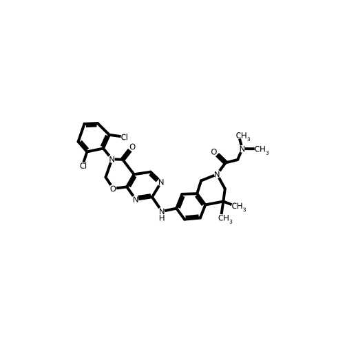 CN(C)CC(=O)N1Cc2cc(Nc3ncc4c(n3)OCN(c3c(Cl)cccc3Cl)C4=O)ccc2C(C)(C)C1